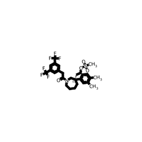 Cc1ccc([C@@]2(CCOS(C)(=O)=O)CCCCN(C(=O)Cc3cc(C(F)(F)F)cc(C(F)(F)F)c3)C2)cc1C